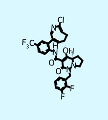 C[C@]12CCCN1N(Cc1cccc(F)c1F)C(=O)C(C(=O)Nc1ccc(C(F)(F)F)cc1C1=C/CC/C=C(Cl)/N=C\1)=C2O